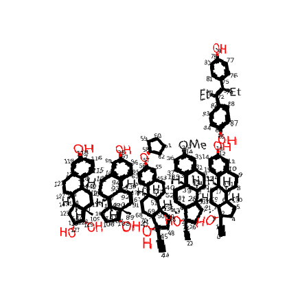 C#C[C@]1(O)CC[C@H]2[C@@H]3CCc4cc(O)ccc4[C@H]3CC[C@@]21C.C#C[C@]1(O)CC[C@H]2[C@@H]3CCc4cc(OC)ccc4[C@H]3CC[C@@]21C.C#C[C@]1(O)CC[C@H]2[C@@H]3CCc4cc(OC5CCCC5)ccc4[C@H]3CC[C@@]21C.CC/C(=C(/CC)c1ccc(O)cc1)c1ccc(O)cc1.C[C@]12CC[C@@H]3c4ccc(O)cc4CC[C@H]3[C@@H]1CC[C@@H]2O.C[C@]12CC[C@@H]3c4ccc(O)cc4CC[C@H]3[C@@H]1C[C@@H](O)[C@@H]2O